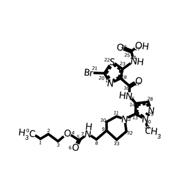 CCCCOC(=O)NCC1CCN(c2c(NC(=O)c3nc(Br)sc3NC(=O)O)cnn2C)CC1